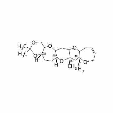 CC1(C)OCC2OC3CC4OC5CC=CCO[C@]5(C)C[C@]4(C)O[C@@H]3CC[C@@H]2O1